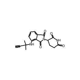 C#CC(C)(C)Nc1cccc2c1C(=O)N(C1CCC(=O)NC1=O)C2=O